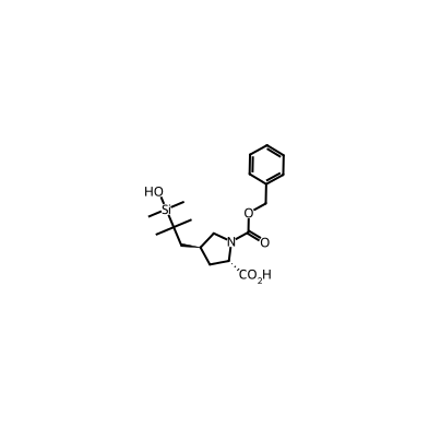 CC(C)(C[C@@H]1C[C@@H](C(=O)O)N(C(=O)OCc2ccccc2)C1)[Si](C)(C)O